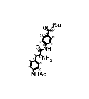 CC(=O)Nc1ccc(C[C@H](N)C(=O)Nc2ccc(C(=O)OC(C)(C)C)cc2)cc1